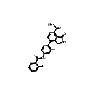 CNC(=O)c1ccc(-c2ccc(NC(=O)c3ccccc3F)cc2F)c2c1C(=O)NC2